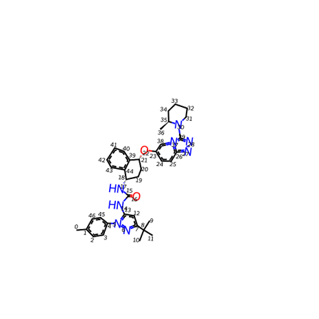 Cc1ccc(-n2nc(C(C)(C)C)cc2NC(=O)N[C@H]2CC[C@@H](Oc3ccc4nnc(N5CCCC[C@@H]5C)n4c3)c3ccccc32)cc1